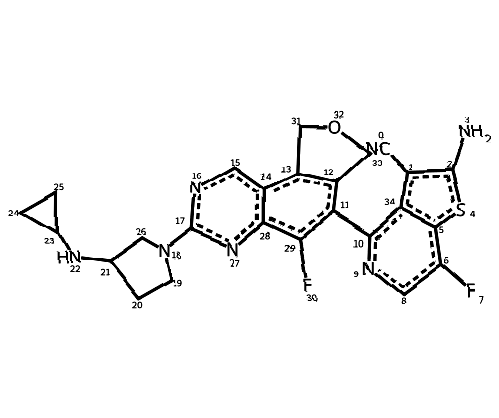 N#Cc1c(N)sc2c(F)cnc(-c3c4c(c5cnc(N6CCC(NC7CC7)C6)nc5c3F)COC4)c12